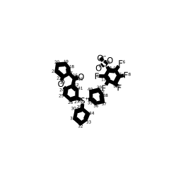 O=S(=O)([O-])c1c(F)c(F)c(F)c(F)c1F.O=c1c2ccccc2oc2ccc([S+](c3ccccc3)c3ccccc3)cc12